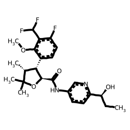 CC[C@H](O)c1ccc(NC(=O)[C@H]2OC(C)(C)[C@H](C)[C@@H]2c2ccc(F)c(C(F)F)c2OC)cn1